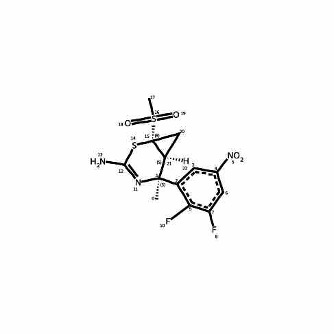 C[C@]1(c2cc([N+](=O)[O-])cc(F)c2F)N=C(N)S[C@@]2(S(C)(=O)=O)C[C@H]21